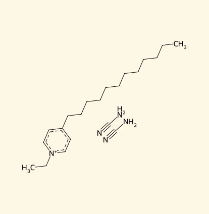 CCCCCCCCCCCCc1cc[n+](CC)cc1.N#CN.N#CN